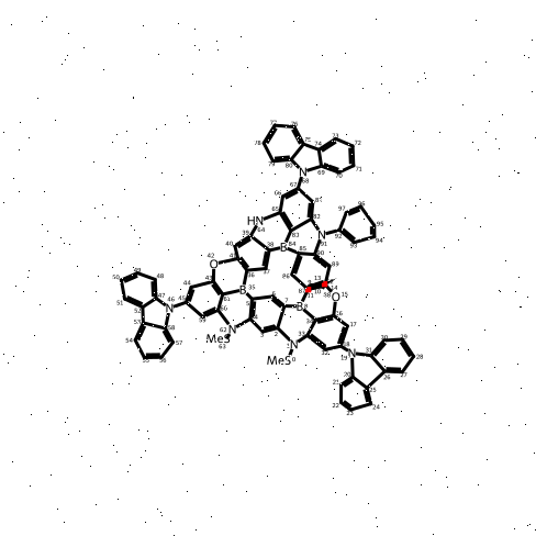 CSN1c2cc3c(cc2B2c4ccccc4Oc4cc(-n5c6ccccc6c6ccccc65)cc1c42)B1c2cc4c(cc2Oc2cc(-n5c6ccccc6c6ccccc65)cc(c21)N3SC)Nc1cc(-n2c3ccccc3c3ccccc32)cc2c1B4c1ccccc1N2c1ccccc1